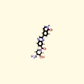 Cn1ccc2cc(-c3cnc4ccc(C(=O)N5CC[C@H](N)[C@H](O)C5)cc4n3)ccc2c1=O